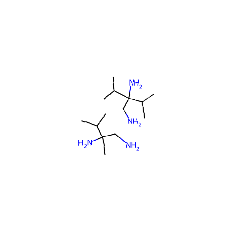 CC(C)C(C)(N)CN.CC(C)C(N)(CN)C(C)C